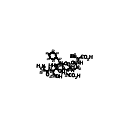 CC[C@H](C)[C@H](NC(=O)[C@H](C)NC(=O)[C@H](CC(=O)O)NC(=O)[C@H](Cc1ccccc1)NC(=O)[C@@H](NC(=O)[C@H](C)N)[C@@H](C)O)C(=O)O